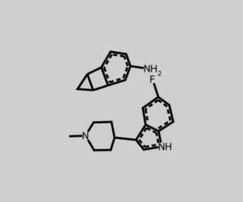 CN1CCC(c2c[nH]c3ccc(F)cc23)CC1.Nc1ccc2c(c1)C1CC21